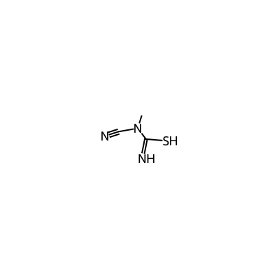 CN(C#N)C(=N)S